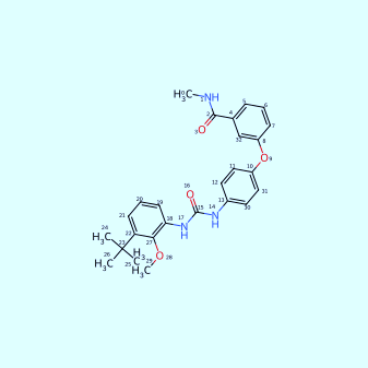 CNC(=O)c1cccc(Oc2ccc(NC(=O)Nc3cccc(C(C)(C)C)c3OC)cc2)c1